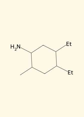 CCC1CC(C)C(N)CC1CC